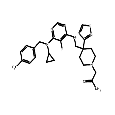 NC(=O)CN1CCC(CNc2ncnc(N(Cc3ccc(C(F)(F)F)cc3)C3CC3)c2F)(c2ncon2)CC1